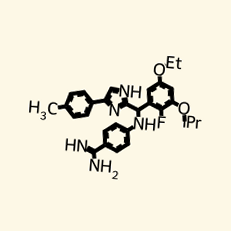 CCOc1cc(OC(C)C)c(F)c(C(Nc2ccc(C(=N)N)cc2)c2nc(-c3ccc(C)cc3)c[nH]2)c1